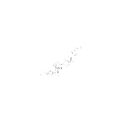 O=C(Cc1ccc(OC(F)(F)F)cc1)Nc1ccc(-c2ccnc(Nc3ccc(N4CCOCC4)cc3)n2)cc1